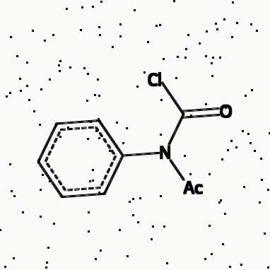 CC(=O)N(C(=O)Cl)c1ccccc1